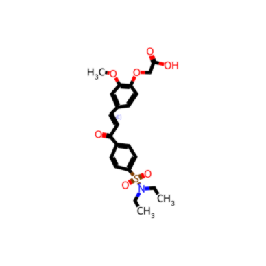 CCN(CC)S(=O)(=O)c1ccc(C(=O)/C=C/c2ccc(OCC(=O)O)c(OC)c2)cc1